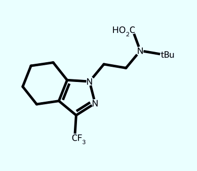 CC(C)(C)N(CCn1nc(C(F)(F)F)c2c1CCCC2)C(=O)O